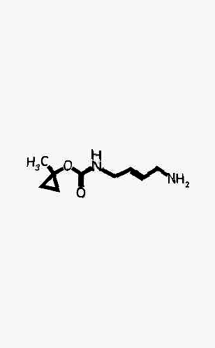 CC1(OC(=O)NC/C=C/CN)CC1